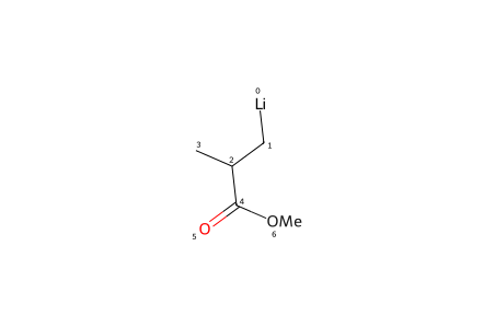 [Li][CH2]C(C)C(=O)OC